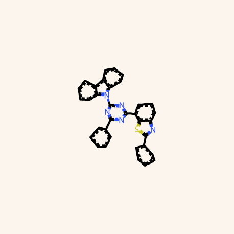 c1ccc(-c2nc(-c3cccc4nc(-c5ccccc5)sc34)nc(-n3c4ccccc4c4ccccc43)n2)cc1